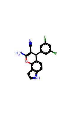 N#CC1=C(N)Oc2c(ccc3[nH]ccc23)C1c1cc(F)cc(F)c1